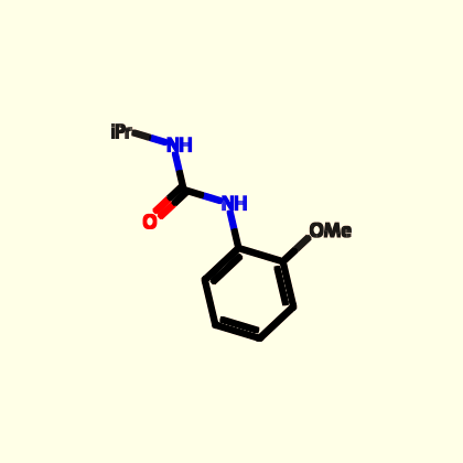 COc1ccccc1NC(=O)NC(C)C